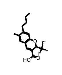 CCCCc1cc2c(cc1C)C=C(C(=O)O)C(C(F)(F)F)O2